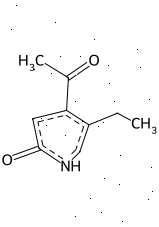 CCc1c[nH]c(=O)cc1C(C)=O